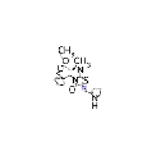 CCOC(=O)C1=C(C)N=c2s/c(=C\c3ccc[nH]3)c(=O)n2C1c1cccs1